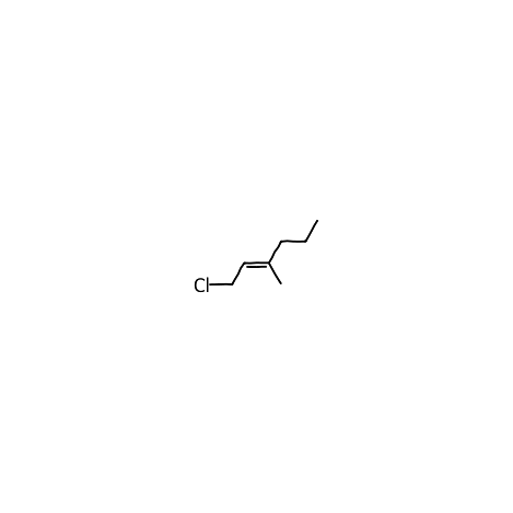 CCC/C(C)=C/CCl